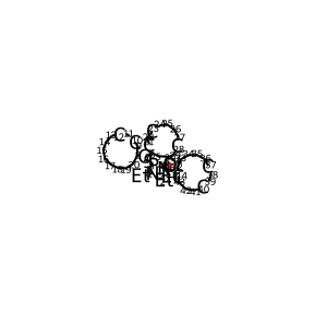 CCN(CC)P(=S)(C1C(OC2CCCCCCCCCCCC2)CCCCCCCCCC1OC1CCCCCCCCCCCC1)N(CC)CC